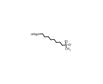 CCCCCCCCCCCCCCC[N+](C)([O-])CC